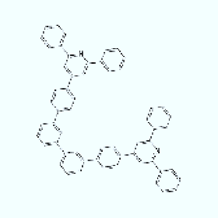 c1ccc(-c2cc(-c3ccc(-c4cccc(-c5cccc(-c6ccc(-c7cc(-c8ccccc8)nc(-c8ccccc8)c7)cc6)c5)c4)cc3)cc(-c3ccccc3)n2)cc1